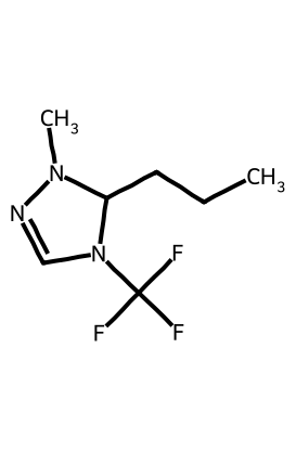 CCCC1N(C)N=CN1C(F)(F)F